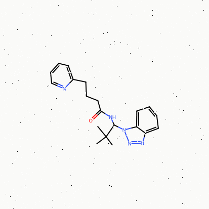 CC(C)(C)C(NC(=O)CCCc1ccccn1)n1nnc2ccccc21